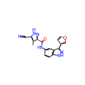 Cc1c(C(=O)Nc2ccc3[nH]nc(-c4ccoc4)c3c2)n[nH]c1C#N